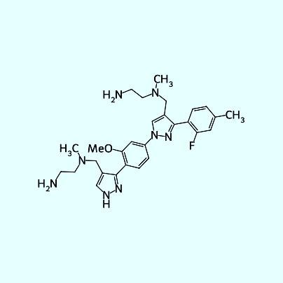 COc1cc(-n2cc(CN(C)CCN)c(-c3ccc(C)cc3F)n2)ccc1-c1n[nH]cc1CN(C)CCN